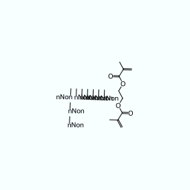 C=C(C)C(=O)OCCOC(=O)C(=C)C.CCCCCCCCCC.CCCCCCCCCC.CCCCCCCCCC.CCCCCCCCCC.CCCCCCCCCC.CCCCCCCCCC.CCCCCCCCCC.CCCCCCCCCC.CCCCCCCCCC